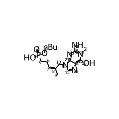 CCCCOP(=O)(O)CC/C=C(/C)Cn1cnc2c(O)nc(N)nc21